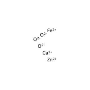 [Ca+2].[Fe+2].[O-2].[O-2].[O-2].[Zn+2]